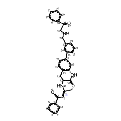 C/C(=C/C(=O)c1ccccc1)NC(Cc1ccc(-c2cccc(CNCC(=O)c3ccccc3)c2)cc1)C(=O)O